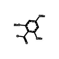 COc1cc(OC)c(C([O])=O)c(OC)c1